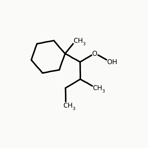 CCC(C)C(OO)C1(C)CCCCC1